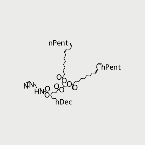 CCCCC/C=C\C/C=C\CCCCCCCC(=O)OCC(COC(=O)CCCCCCC/C=C\C/C=C\CCCCC)OC(=O)CCC(CCCCCCCCCCCC)OC(=O)NCCCn1ccnc1